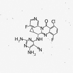 N#Cc1c(N)nc(N)nc1NC(c1nc2c(F)ccc(Cl)c2c(=O)n1-c1cncc(F)c1)C1CC1